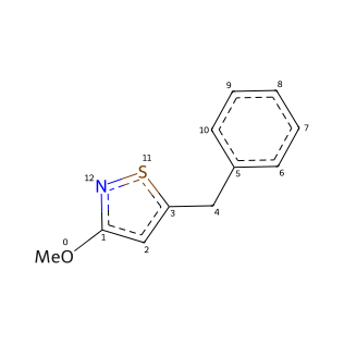 COc1cc(Cc2ccccc2)sn1